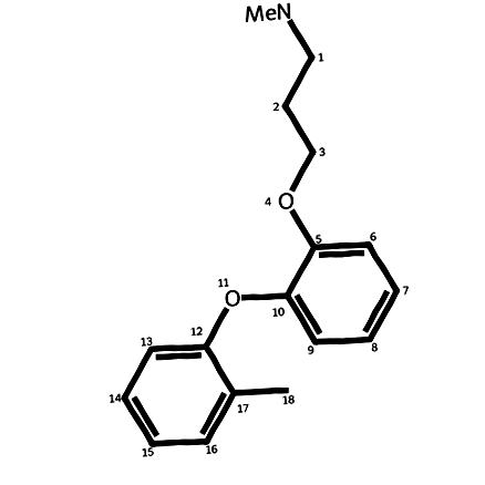 CNCCCOc1ccccc1Oc1ccccc1C